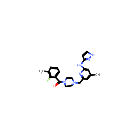 N#Cc1cc(CN2CCN(C(=O)c3cccc(C(F)(F)F)c3F)CC2)nc(Nc2cc[nH]n2)c1